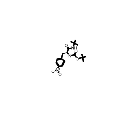 CC(C)(C)NC(=O)[C@H](Cc1ccc([N+](=O)[O-])cc1)NC(=O)OC(C)(C)C